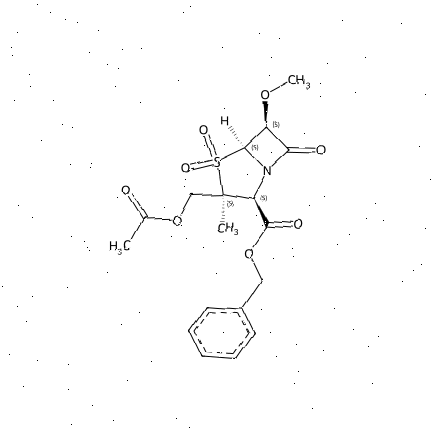 CO[C@H]1C(=O)N2[C@@H](C(=O)OCc3ccccc3)[C@@](C)(COC(C)=O)S(=O)(=O)[C@@H]12